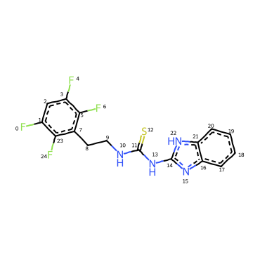 Fc1cc(F)c(F)c(CCNC(=S)Nc2nc3ccccc3[nH]2)c1F